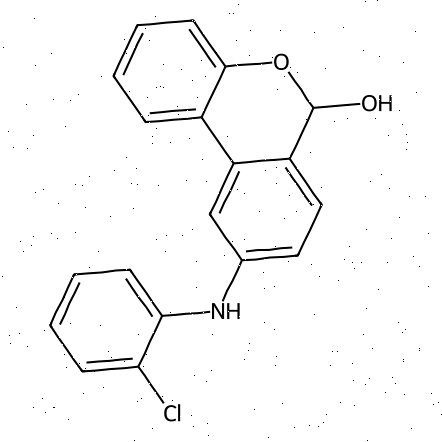 OC1Oc2ccccc2-c2cc(Nc3ccccc3Cl)ccc21